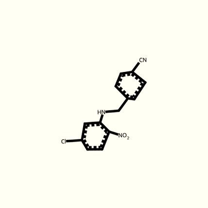 N#Cc1ccc(CNc2cc(Cl)ccc2[N+](=O)[O-])cc1